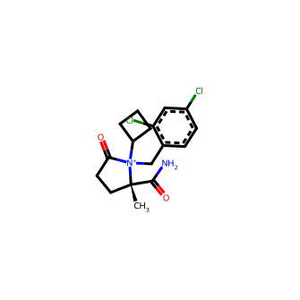 C[C@@]1(C(N)=O)CCC(=O)[N+]1(Cc1ccc(Cl)cc1Cl)C1CCC1